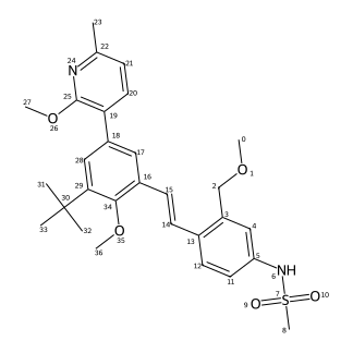 COCc1cc(NS(C)(=O)=O)ccc1C=Cc1cc(-c2ccc(C)nc2OC)cc(C(C)(C)C)c1OC